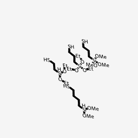 CCO[SiH](CCS)OCC.CCO[Si](CCCS)(OCC)OCC.CO[SiH](CCCCS)OC.CO[Si](CCCS)(OC)OC